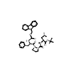 CC(C)CC(NC(=O)N1CCCN1C(=O)C(Cc1ccccc1)NC(=O)OCC1c2ccccc2-c2ccccc21)C(=O)OC(C)(C)C